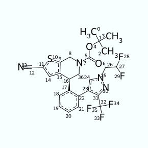 CC(C)(C)OC(=O)N1Cc2sc(C#N)cc2[C@H](c2ccccc2-c2cn(CC(F)F)nc2C(F)(F)F)C1